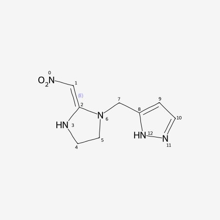 O=[N+]([O-])/C=C1\NCCN1Cc1ccn[nH]1